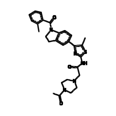 CC(=O)N1CCN(CC(=O)Nc2nc(-c3ccc4c(c3)CCN4C(=O)c3ccccc3C)c(C)s2)CC1